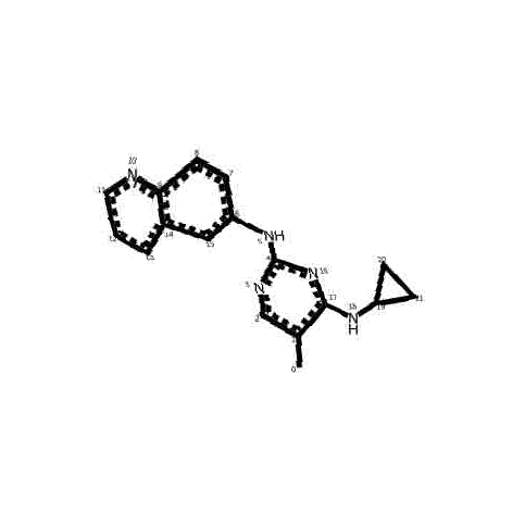 Cc1cnc(Nc2ccc3ncccc3c2)nc1NC1CC1